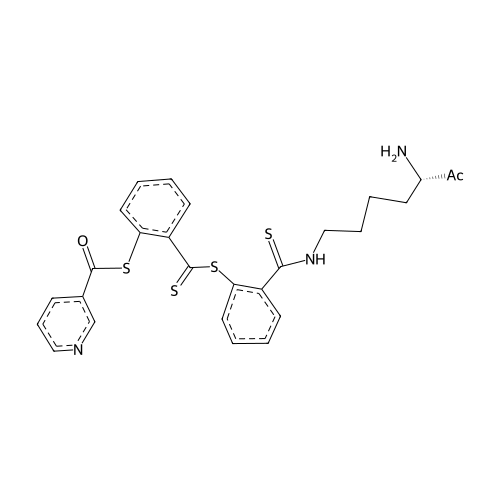 CC(=O)[C@@H](N)CCCCNC(=S)c1ccccc1SC(=S)c1ccccc1SC(=O)c1cccnc1